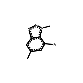 Cc1cc(C(C)C)c2c(c1)nnn2C